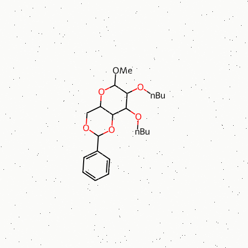 CCCCOC1C(OC)OC2COC(c3ccccc3)OC2C1OCCCC